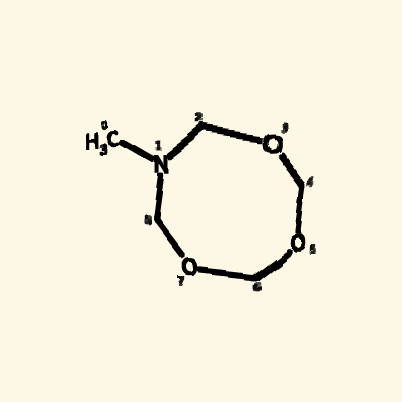 CN1COCOCOC1